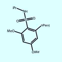 CCCCCc1cc(OC)cc(OC)c1S(=O)(=O)NC(C)C